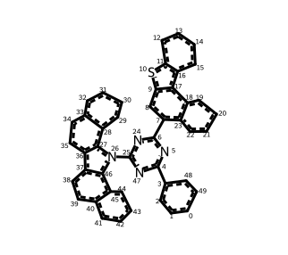 c1ccc(-c2nc(-c3cc4sc5ccccc5c4c4ccccc34)nc(-n3c4c5ccccc5ccc4c4ccc5ccccc5c43)n2)cc1